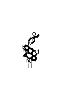 C=CC(=O)N1CCN(c2cnnc3cc(-c4c(C)ccc5[nH]nc(C6CC6)c45)c(Cl)cc23)CC1